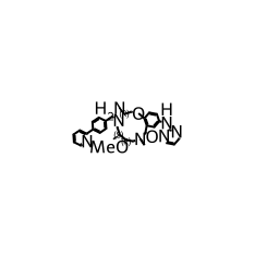 CO[C@H]1CN(C)C(=O)c2cc(Nc3ncccn3)ccc2OC[C@H](N)N(Cc2ccc(-c3ccccn3)cc2)C[C@@H]1C